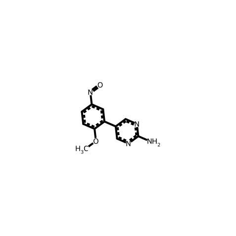 COc1ccc(N=O)cc1-c1cnc(N)nc1